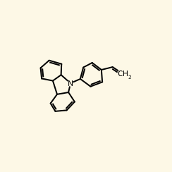 C=Cc1ccc(N2C3C=CC=CC3C3C=CC=CC32)cc1